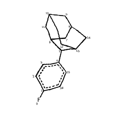 Fc1ccc(C2C3CC4CC(C3)CC2C4)cc1